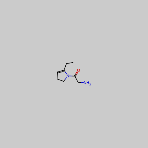 CCC1=CCCN1C(=O)CN